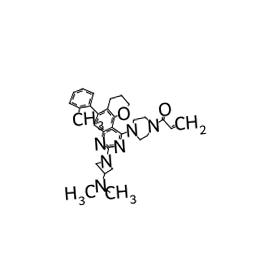 C=CC(=O)N1CCN(c2nc(N3CC(N(C)C)C3)nc3cc(-c4ccccc4C)c4c(c23)OCCC4)CC1